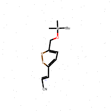 CC(C)(C)[Si](C)(C)OCC1=CC=C(/C=C/C#N)SS1